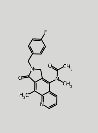 CC(=O)N(C)c1c2c(c(C)c3ncccc13)C(=O)N(Cc1ccc(F)cc1)C2